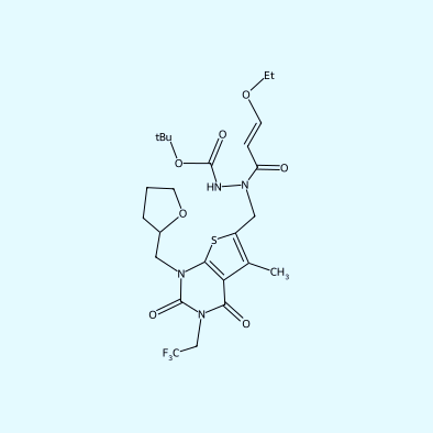 CCO/C=C/C(=O)N(Cc1sc2c(c1C)c(=O)n(CC(F)(F)F)c(=O)n2CC1CCCO1)NC(=O)OC(C)(C)C